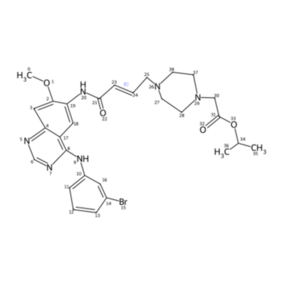 COc1cc2ncnc(Nc3cccc(Br)c3)c2cc1NC(=O)/C=C/CN1CCN(CC(=O)OC(C)C)CC1